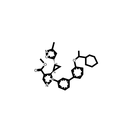 COC(=O)c1cnn(-c2cccc(-c3cccc(OC(C)C4CCCCC4)c3)c2)c1[C@@H]1C[C@H]1c1cc(C)no1